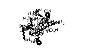 CC(C)C[C@H](NC(=O)[C@H](CCCNC(=N)N)NC(=O)[C@H](Cc1ccc(O)cc1)NC(=O)[C@H](CCCCN)NC(=O)[C@H](CC(=O)O)NC(=O)[C@@H](NC(=O)[C@H](Cc1c[nH]c2ccccc12)NC(=O)[C@@H]1CCCN1C(=O)[C@H](CCCCC(=N)N)NC(=O)[C@H](CC(C)C)NC(=O)[C@@H](C)CCCCN)[C@@H](C)O)C(N)=O